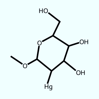 COC1OC(CO)C(O)C(O)[CH]1[Hg]